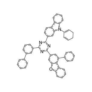 C1=CC(n2c3ccccc3c3ccc(-c4nc(-c5cccc(-c6ccccc6)c5)nc(-c5cc(-c6ccccc6)c6c(c5)oc5ccccc56)n4)cc32)=CCC1